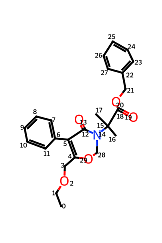 CCOCC1=C(c2ccccc2)C(=O)N(C(C)(C)C(=O)OCc2ccccc2)CO1